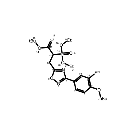 CCCCOc1ccc(-c2noc(CC(C(=O)OC(C)(C)C)P(=O)(OCC)OCC)n2)cc1F